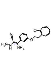 N#C/C(NN)=C(/N)c1cccc(OCCC2=C(Cl)C=CCC=C2)c1